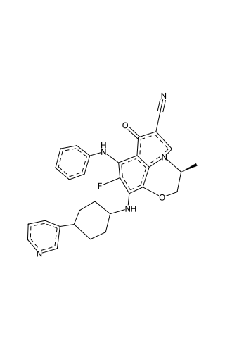 C[C@H]1COc2c(NC3CCC(c4cccnc4)CC3)c(F)c(Nc3ccccc3)c3c(=O)c(C#N)cn1c23